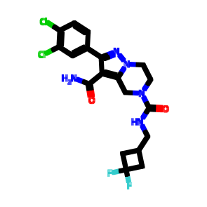 NC(=O)c1c(-c2ccc(Cl)c(Cl)c2)nn2c1CN(C(=O)NCC1CC(F)(F)C1)CC2